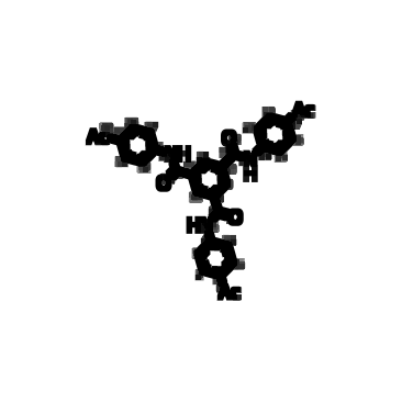 CC(=O)c1ccc(NC(=O)c2cc(C(=O)Nc3ccc(C(C)=O)cc3)cc(C(=O)Nc3ccc(C(C)=O)cc3)c2)cc1